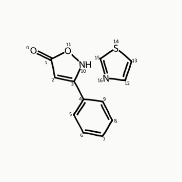 O=c1cc(-c2ccccc2)[nH]o1.c1cscn1